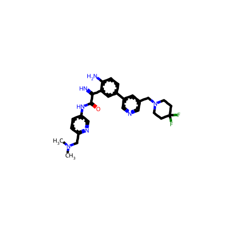 CN(C)Cc1ccc(NC(=O)C(=N)c2cc(-c3cncc(CN4CCC(F)(F)CC4)c3)ccc2N)cn1